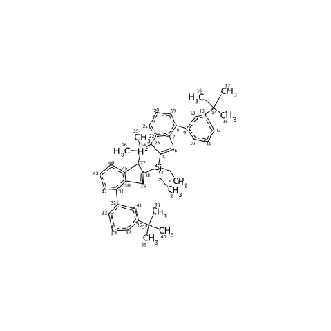 CC[Si]1(CC)C2=Cc3c(-c4cccc(C(C)(C)C)c4)cccc3[CH]2[Hf]([CH3])([CH3])[CH]2C1=Cc1c(-c3cccc(C(C)(C)C)c3)cccc12